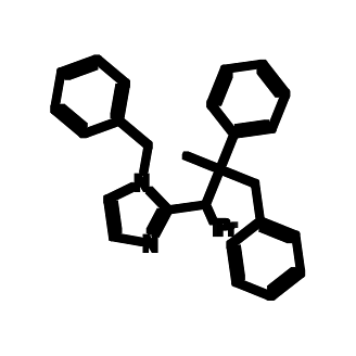 CC(C)C(c1nccn1Cc1ccccc1)C(C)(Cc1ccccc1)c1ccccc1